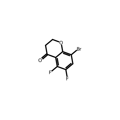 O=C1CCOc2c(Br)cc(F)c(F)c21